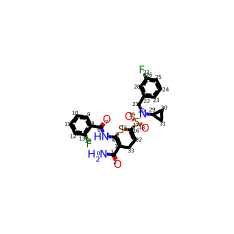 NC(=O)C1=C(NC(=O)c2ccccc2F)SC(S(=O)(=O)N(Cc2cccc(F)c2)C2CC2)=CC1